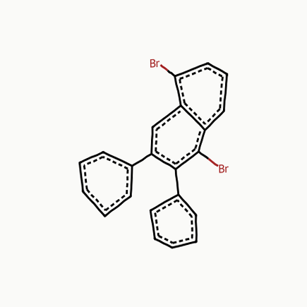 Brc1cccc2c(Br)c(-c3ccccc3)c(-c3ccccc3)cc12